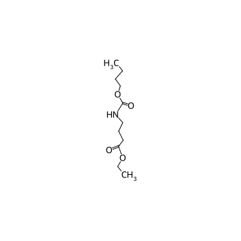 CCCCOC(=O)NCCCC(=O)OCC